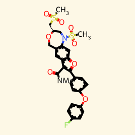 CNC(=O)c1c(-c2ccc(Oc3ccc(F)cc3)cc2)oc2cc3c(cc12)CO[C@H](CS(C)(=O)=O)CN3S(C)(=O)=O